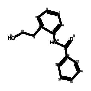 O=C(Nc1ccccc1CCO)c1ccccc1